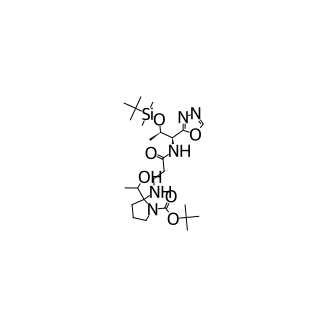 CC(O)C1(NCCC(=O)N[C@H](c2nnco2)[C@@H](C)O[Si](C)(C)C(C)(C)C)CCCN1C(=O)OC(C)(C)C